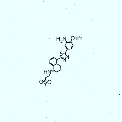 CC(C)Oc1ccc(-c2nnc(-c3cccc4c3CCC[C@@H]4NCCS(C)(=O)=O)s2)cc1N